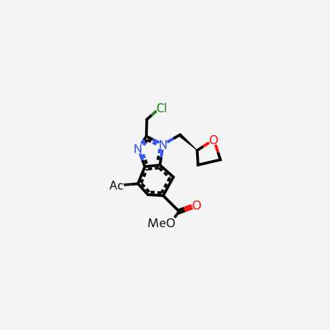 COC(=O)c1cc(C(C)=O)c2nc(CCl)n(C[C@@H]3CCO3)c2c1